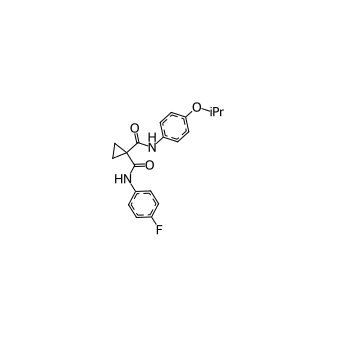 CC(C)Oc1ccc(NC(=O)C2(C(=O)Nc3ccc(F)cc3)CC2)cc1